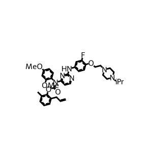 C=CCc1cccc(C)c1OC(=O)N(c1ccnc(Nc2ccc(OCCN3CCN(C(C)C)CC3)c(F)c2)n1)c1ccc(OC)cc1OC